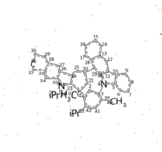 Cc1cc(-n2c3ccccc3c3cc4ccccc4c(-c4ccc5c(c4)c4cc6ccccc6cc4n5C(C)C)c32)c(C)cc1C(C)C